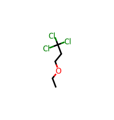 CCOCCC(Cl)(Cl)Cl